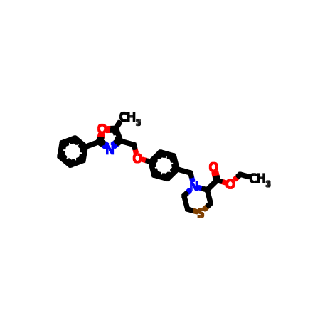 CCOC(=O)C1CSCCN1Cc1ccc(OCc2nc(-c3ccccc3)oc2C)cc1